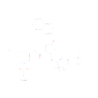 C=C/C=C(/NC(=O)[C@@H]1C[C@@H](Oc2ccc3nccc(Cl)c3c2)CN1C(=O)[C@@H](NC(=O)OC(C)(C)C)C(C)(C)C)C(=O)NS(=O)(=O)C1CC1